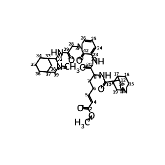 COC(=O)/C=C/CCC(NC(=O)C1CN2CCC1CC2)C(=O)Nc1cccn(CC(=O)NC2C3CCCC(C3)CN2C)c1=O